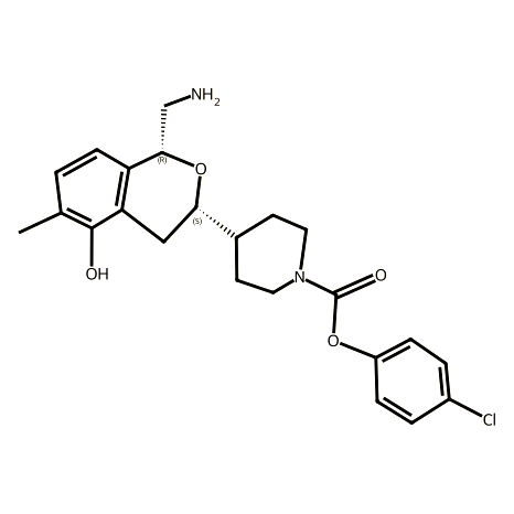 Cc1ccc2c(c1O)C[C@@H](C1CCN(C(=O)Oc3ccc(Cl)cc3)CC1)O[C@H]2CN